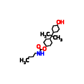 CCCCNC(=O)OC1CCC(C(C)(C)C2CCC(O)CC2)CC1